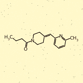 CCCC(=O)N1CCC(=Cc2cccc(C)n2)CC1